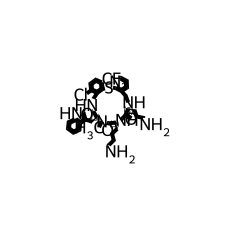 CN1C(=O)[C@H](CCCCN)NC(=O)[C@H](CCCN)NCc2cccnc2Sc2c(C(F)(F)F)ccc(Cl)c2CNC(=O)[C@@H]1Cc1c[nH]c2ccccc12